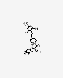 Cc1nc(N)c(CCC2CCN(C(=O)C(C)NC(=O)CC(F)(F)F)CC2)c(Cl)n1